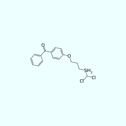 O=C(c1ccccc1)c1ccc(OCCC[SiH2]C(Cl)Cl)cc1